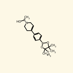 CB(O)N1CC=C(c2ccc(B3OC(C)(C)C(C)(C)O3)cc2)CC1